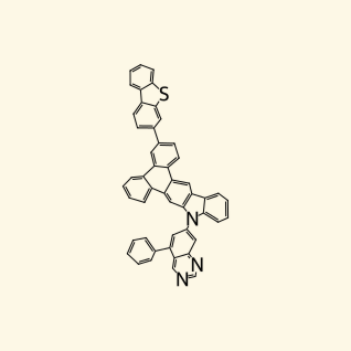 c1ccc(-c2cc(-n3c4ccccc4c4cc5c6ccc(-c7ccc8c(c7)sc7ccccc78)cc6c6ccccc6c5cc43)cc3ncncc23)cc1